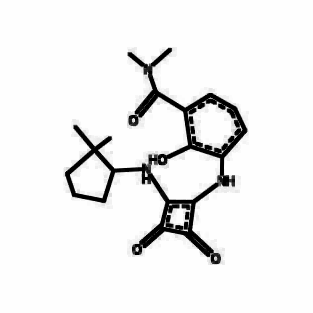 CN(C)C(=O)c1cccc(Nc2c(NC3CCCC3(C)C)c(=O)c2=O)c1O